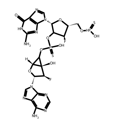 Nc1nc2c(ncn2[C@@H]2O[C@H](CO[PH](O)=S)[C@@H](F)C2OP(O)(=S)OC2[C@H]3O[C@@H](n4cnc5c(N)ncnc54)[C@H](F)[C@@]23O)c(=O)[nH]1